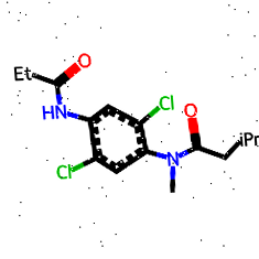 CCC(=O)Nc1cc(Cl)c(N(C)C(=O)CC(C)C)cc1Cl